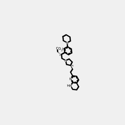 O=C(O)C[C@@H](CN1CC[C@@H](CCc2ccc3c(n2)NCCC3)C1)c1cccc(N2CCCCC2)c1